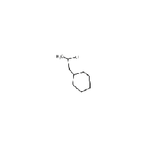 CC(Cl)CC1CCCCC1